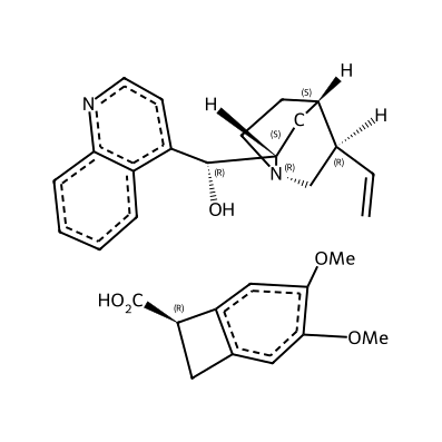 C=C[C@H]1C[N@]2CC[C@H]1C[C@H]2[C@H](O)c1ccnc2ccccc12.COc1cc2c(cc1OC)[C@H](C(=O)O)C2